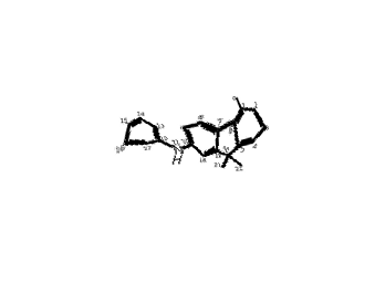 Cc1cccc2c1-c1ccc(Nc3ccccc3)cc1C2(C)C